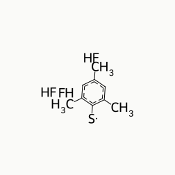 Cc1cc(C)c([S])c(C)c1.F.F.F